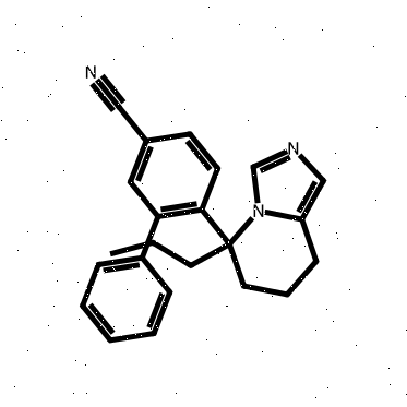 CCCC1(c2ccc(C#N)cc2-c2ccccc2)CCCc2cncn21